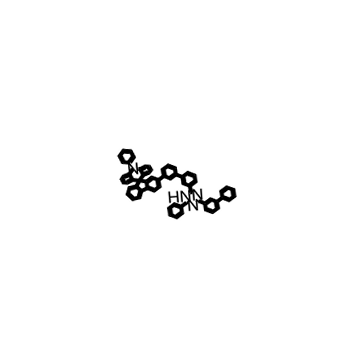 c1ccc(C2=NC(c3cccc(-c4ccccc4)c3)=NC(c3cccc(-c4cccc(-c5ccc6c(c5)C5(c7ccccc7-6)c6ccccc6N(c6ccccc6)c6ccccc65)c4)c3)N2)cc1